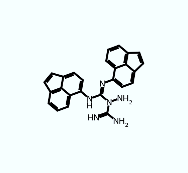 N=C(N)N(N)C(=Nc1ccc2c3c(cccc13)C=C2)Nc1ccc2c3c(cccc13)C=C2